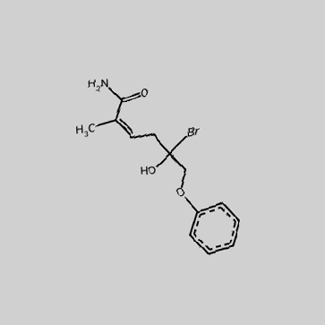 CC(=CCC(O)(Br)COc1ccccc1)C(N)=O